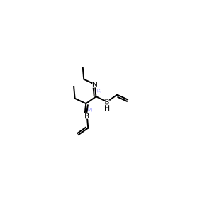 C=C/B=C(CC)\C(BC=C)=N/CC